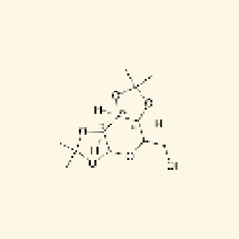 CC1(C)OC2OC(CO)[C@@H]3OC(C)(C)O[C@@H]3[C@@H]2O1